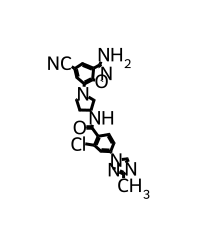 Cc1ncn(-c2ccc(C(=O)NC3CCN(c4cc(C#N)cc5c(N)noc45)C3)c(Cl)c2)n1